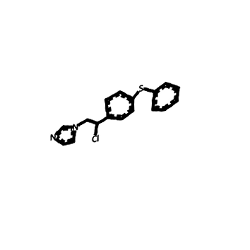 ClC(Cn1ccnc1)c1ccc(Sc2ccccc2)cc1